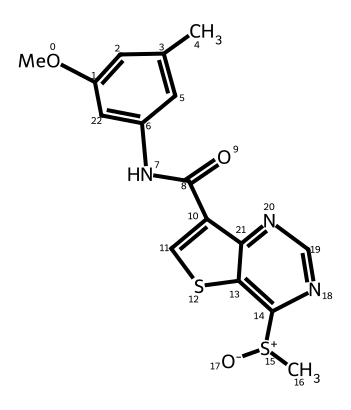 COc1cc(C)cc(NC(=O)c2csc3c([S+](C)[O-])ncnc23)c1